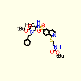 C[C@H](CN(CCc1ccccc1)C(=O)OC(C)(C)C)NS(=O)(=O)c1ccc2c(SCCNC(=O)OC(C)(C)C)nccc2c1